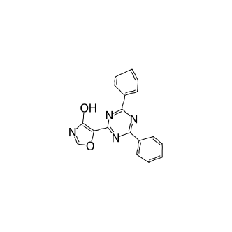 Oc1ncoc1-c1nc(-c2ccccc2)nc(-c2ccccc2)n1